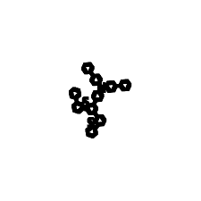 c1ccc(-c2ccc(N(c3ccc(-c4ccccc4)cc3)c3ccc(-c4cc(-c5cccc6c5sc5ccccc56)cc5c4sc4c(-c6ccccc6)cccc45)cc3)cc2)cc1